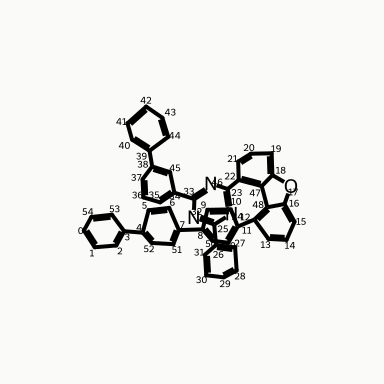 c1ccc(-c2ccc(-c3ccc(-c4cccc5oc6cccc(-c7nc(-c8ccccc8)nc(-c8cccc(-c9ccccc9)c8)n7)c6c45)cc3)cc2)cc1